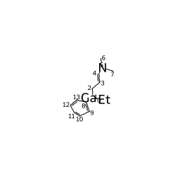 C[CH2][Ga]([CH2]C=CN(C)C)[c]1ccccc1